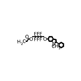 C=CC(=O)OCC(F)(F)C(F)(F)C(F)(F)COc1ccc2cc(-c3ccccc3)n(C)c2c1